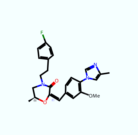 COc1cc(/C=C2/O[C@@H](C)CN(CCc3ccc(F)cc3)C2=O)ccc1-n1cnc(C)c1